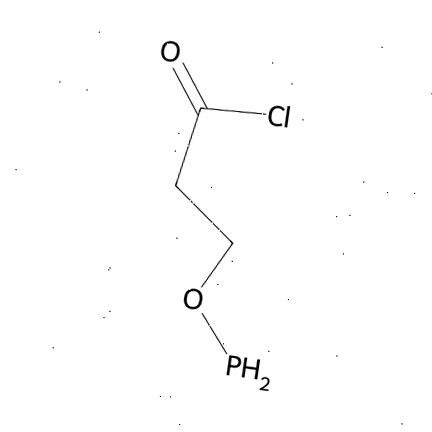 O=C(Cl)CCOP